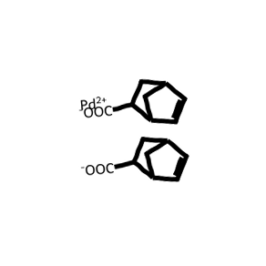 O=C([O-])C1CC2C=CC1C2.O=C([O-])C1CC2C=CC1C2.[Pd+2]